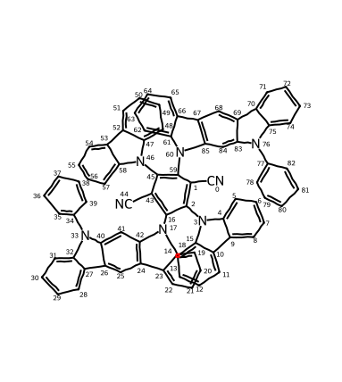 N#Cc1c(-n2c3ccccc3c3ccccc32)c(-n2c3ccccc3c3cc4c5ccccc5n(-c5ccccc5)c4cc32)c(C#N)c(-n2c3ccccc3c3ccccc32)c1-n1c2ccccc2c2cc3c4ccccc4n(-c4ccccc4)c3cc21